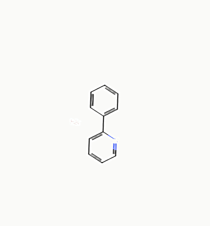 Br.c1ccc(-c2ccccn2)cc1